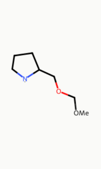 COCOCC1CCC[N]1